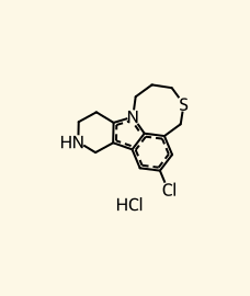 Cl.Clc1cc2c3c(c1)c1c(n3CCCSC2)CCNC1